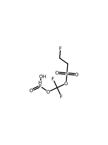 O=[PH](O)OC(F)(F)OS(=O)(=O)CCF